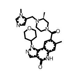 Cc1cc2[nH]c(=O)c3cnn(C4CCOCC4)c3c2cc1C(=O)N1CCN(Cc2cncn2C)[C@@H](C)C1